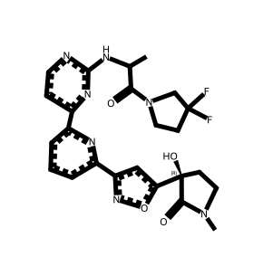 CC(Nc1nccc(-c2cccc(-c3cc([C@]4(O)CCN(C)C4=O)on3)n2)n1)C(=O)N1CCC(F)(F)C1